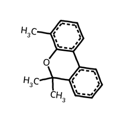 Cc1cccc2c1OC(C)(C)c1ccccc1-2